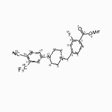 COC(=O)c1ccc(CN2CCN(c3ccc(C#N)c(C(F)(F)F)c3)CC2)cc1F